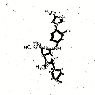 Cc1cn(-c2ccc(Nc3nc(C)cc4c3nc(-c3ccc(F)cc3)n4C)cc2F)cn1.Cl.Cl